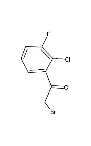 O=C(CBr)c1cccc(F)c1Cl